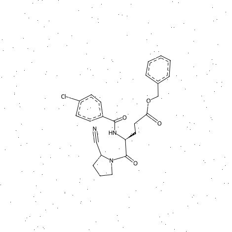 N#CC1CCCN1C(=O)[C@H](CCC(=O)OCc1ccccc1)NC(=O)c1ccc(Cl)cc1